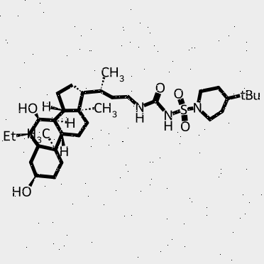 CC[C@@H]1C2C[C@H](O)CC[C@]2(C)[C@H]2CC[C@]3(C)[C@@H]([C@H](C)CCNC(=O)NS(=O)(=O)N4CCC(C(C)(C)C)CC4)CC[C@H]3[C@@H]2[C@@H]1O